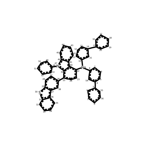 c1ccc(-c2cccc(N(c3cccc(-c4ccccc4)c3)c3ccc(-c4ccc5sc6ccccc6c5c4)c4c3c3ccccc3n4-c3ccccc3)c2)cc1